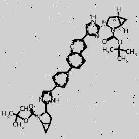 CC(C)(C)OC(=O)N1C(c2ncc(-c3ccc(-c4ccc5cc(-c6c[nH]c([C@@H]7C[C@@H]8C[C@H]8N7C(=O)OC(C)(C)C)n6)ccc5c4)cc3)[nH]2)CC2CC21